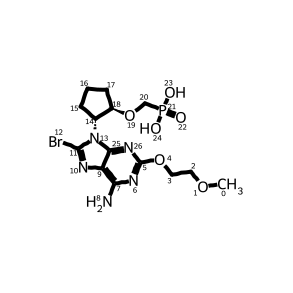 COCCOc1nc(N)c2nc(Br)n([C@@H]3CCC[C@H]3OCP(=O)(O)O)c2n1